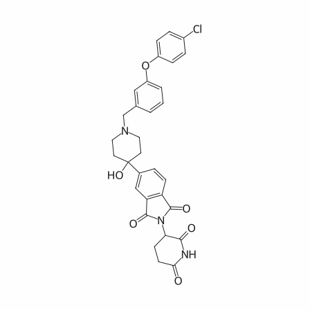 O=C1CCC(N2C(=O)c3ccc(C4(O)CCN(Cc5cccc(Oc6ccc(Cl)cc6)c5)CC4)cc3C2=O)C(=O)N1